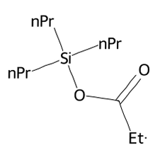 C[CH]C(=O)O[Si](CCC)(CCC)CCC